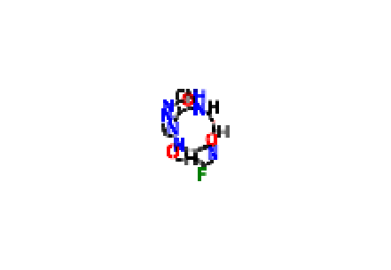 N#Cc1nn2ccc3nc2c1C(=O)N[C@H]1C[C@H](C1)Oc1ncc(F)cc1[C@H]1CCON31